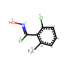 ON=C(Cl)c1c(Cl)cccc1C(F)(F)F